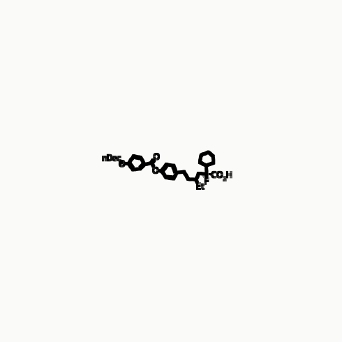 CCCCCCCCCCOc1ccc(C(=O)Oc2ccc(CCC(CC)C[C@@](F)(C(=O)O)C3CCCCC3)cc2)cc1